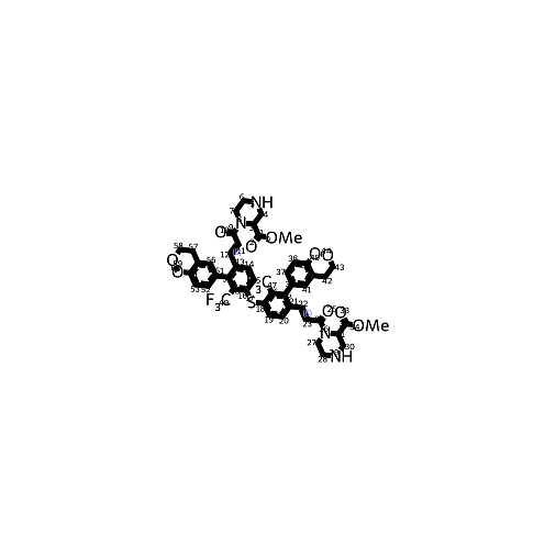 COC(=O)C1CNCCN1C(=O)/C=C/c1ccc(Sc2ccc(/C=C/C(=O)N3CCNCC3C(=O)OC)c(-c3ccc4c(c3)CCOO4)c2C(F)(F)F)c(C(F)(F)F)c1-c1ccc2c(c1)CCOO2